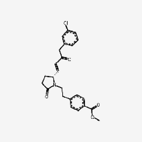 COC(=O)c1ccc(CCN2C(=O)CC[C@@H]2C=CC(=O)Cc2cccc(Cl)c2)cc1